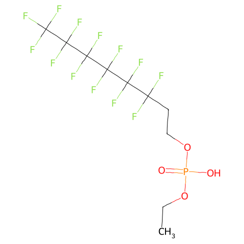 CCOP(=O)(O)OCCC(F)(F)C(F)(F)C(F)(F)C(F)(F)C(F)(F)C(F)(F)F